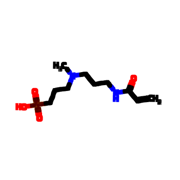 C=CC(=O)NCCCN(C)CCCS(=O)(=O)O